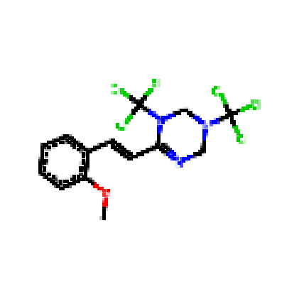 COc1ccccc1C=CC1=NCN(C(Cl)(Cl)Cl)CN1C(Cl)(Cl)Cl